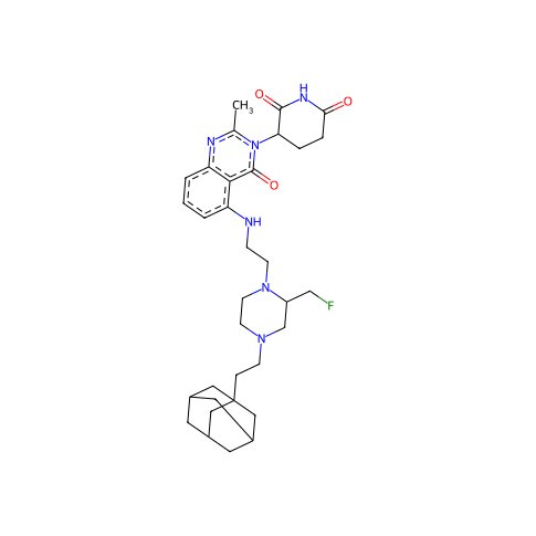 Cc1nc2cccc(NCCN3CCN(CCC45CC6CC(CC(C6)C4)C5)CC3CF)c2c(=O)n1C1CCC(=O)NC1=O